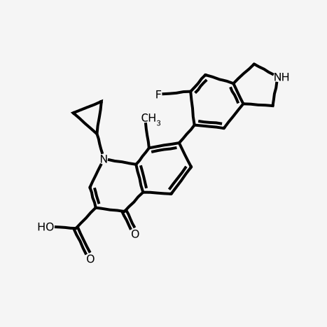 Cc1c(-c2cc3c(cc2F)CNC3)ccc2c(=O)c(C(=O)O)cn(C3CC3)c12